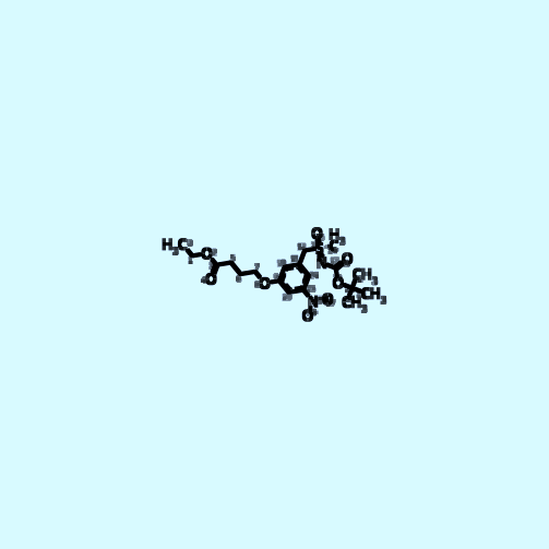 CCOC(=O)CCCOc1cc(C[S@@](C)(=O)=NC(=O)OC(C)(C)C)cc([N+](=O)[O-])c1